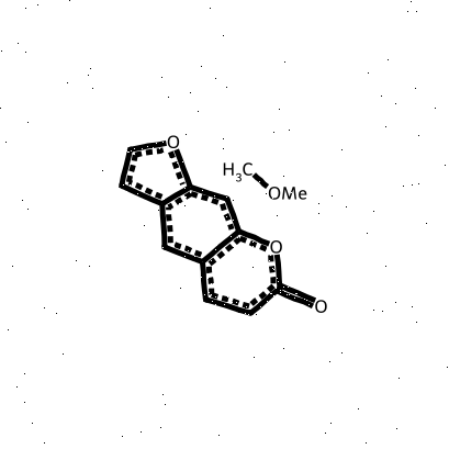 COC.O=c1ccc2cc3ccoc3cc2o1